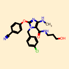 CNc1nc(Oc2ccc(C#N)cc2)n(Cc2ccc(Cl)cc2)c1C(=O)NCCCO